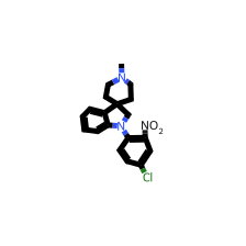 CN1CCC2(CC1)CN(c1ccc(Cl)cc1[N+](=O)[O-])c1ccccc12